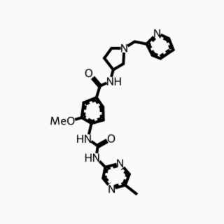 COc1cc(C(=O)NC2CCN(Cc3ccccn3)C2)ccc1NC(=O)Nc1cnc(C)cn1